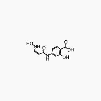 O=C(/C=C\NO)Nc1ccc(C(=O)O)c(O)c1